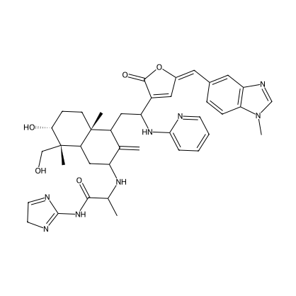 C=C1C(NC(C)C(=O)NC2=NCC=N2)CC2[C@](C)(CC[C@@H](O)[C@@]2(C)CO)C1CC(Nc1ccccn1)C1=C/C(=C\c2ccc3c(c2)ncn3C)OC1=O